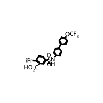 CC(C)c1ccc(S(=O)(=O)Nc2ccc(-c3ccc(OC(F)(F)F)cc3)cc2)cc1C(=O)O